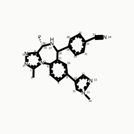 Cc1nnc2n1-c1ccc(-c3cnn(C)c3)cc1C(c1ccc(C#N)cc1)N[C@H]2C